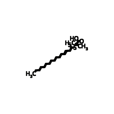 CCCCCCCCCCCCC=CCC(=S)SC(C)(C)C(=O)O